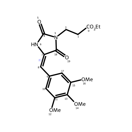 CCOC(=O)CCN1C(=O)N/C(=C/c2cc(OC)c(OC)c(OC)c2)C1=O